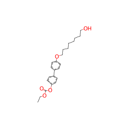 CCOC(=O)Oc1ccc(-c2ccc(OCCCCCCCCO)cc2)cc1